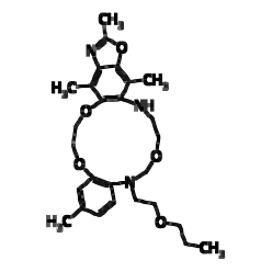 CCCOCCN1COCCNc2c(c(C)c3nc(C)oc3c2C)OCCOc2cc(C)ccc21